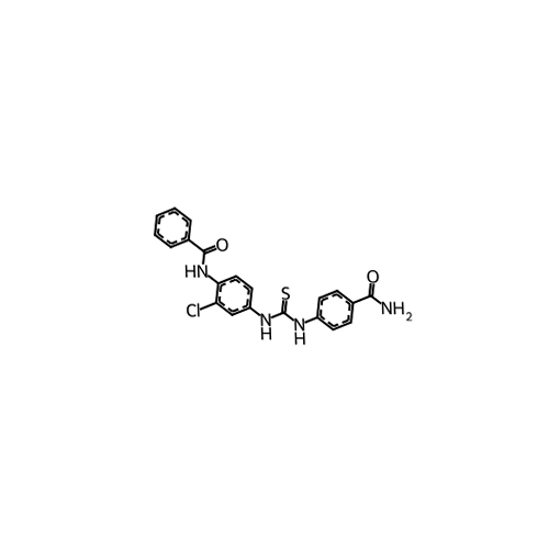 NC(=O)c1ccc(NC(=S)Nc2ccc(NC(=O)c3ccccc3)c(Cl)c2)cc1